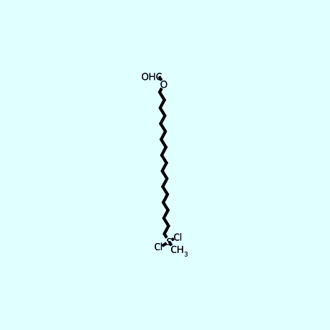 CS(Cl)(Cl)CCCCCCCCCCCCCCCCCCCOC=O